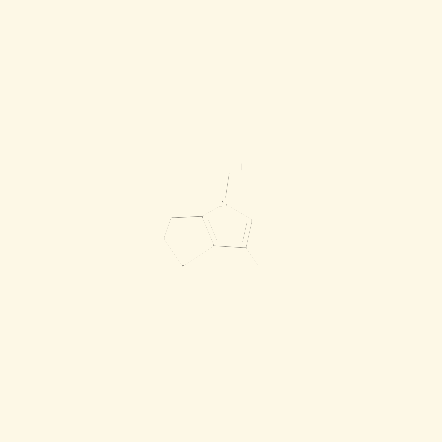 Cc1cn(O)c2c1CCC2